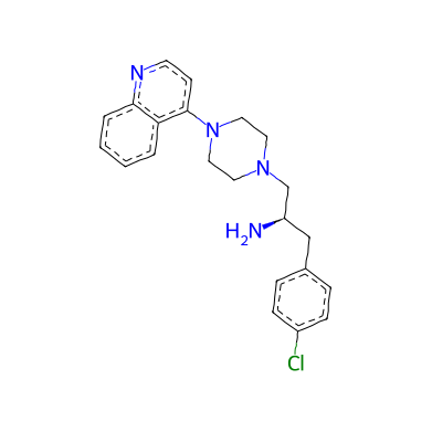 N[C@H](Cc1ccc(Cl)cc1)CN1CCN(c2ccnc3ccccc23)CC1